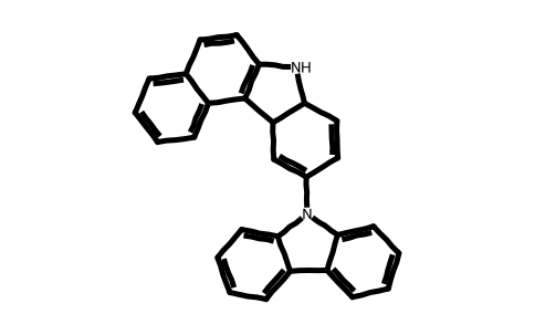 C1=CC2Nc3ccc4ccccc4c3C2C=C1n1c2ccccc2c2ccccc21